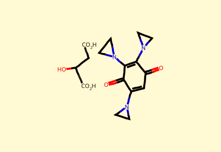 O=C(O)CC(O)C(=O)O.O=C1C=C(N2CC2)C(=O)C(N2CC2)=C1N1CC1